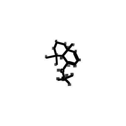 CC1(C)CCCC2(C)C=CC=C(O[Si](C)(C)C)C12